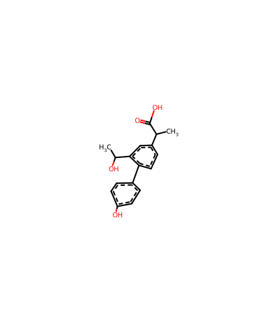 CC(O)c1cc(C(C)C(=O)O)ccc1-c1ccc(O)cc1